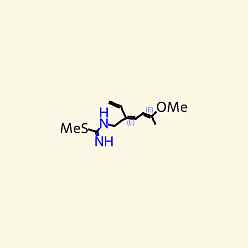 C=C/C(=C\C=C(/C)OC)CNC(=N)SC